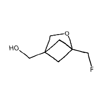 OCC12COC(CF)(C1)C2